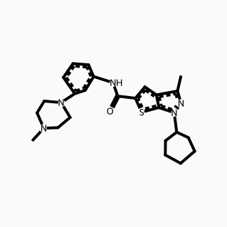 Cc1nn(C2CCCCC2)c2sc(C(=O)Nc3cccc(N4CCN(C)CC4)c3)cc12